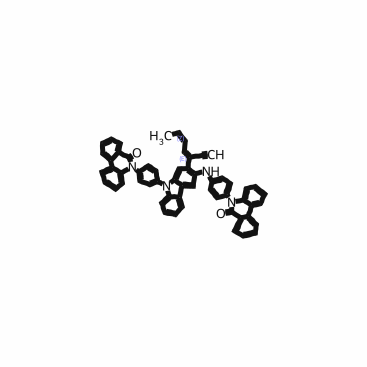 C#C/C(=C\C=C/C)c1cc2c(cc1Nc1ccc(-n3c(=O)c4ccccc4c4ccccc43)cc1)c1ccccc1n2-c1ccc(-n2c(=O)c3ccccc3c3ccccc32)cc1